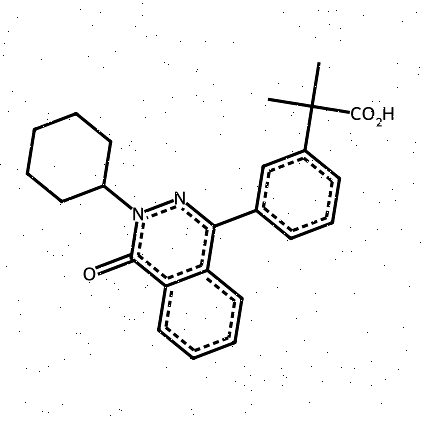 CC(C)(C(=O)O)c1cccc(-c2nn(C3CCCCC3)c(=O)c3ccccc23)c1